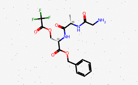 C[C@H](NC(=O)CN)C(=O)N[C@@H](COC(=O)C(F)(F)F)C(=O)OCc1ccccc1